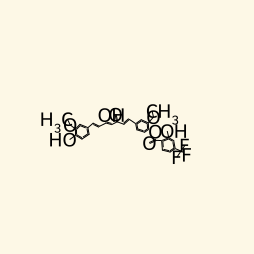 COc1cc(/C=C/C(O)=C/C(=O)/C=C/c2ccc(OC(=O)c3ccc(C(F)(F)F)cc3O)c(OC)c2)ccc1O